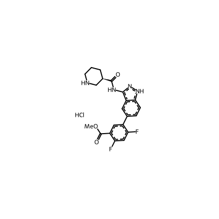 COC(=O)c1cc(-c2ccc3[nH]nc(NC(=O)[C@@H]4CCCNC4)c3c2)c(F)cc1F.Cl